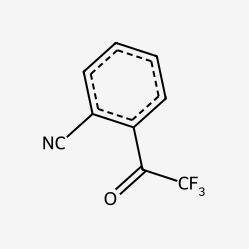 N#Cc1ccccc1C(=O)C(F)(F)F